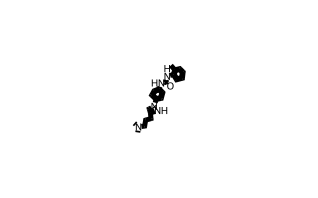 Cc1ccccc1NC(=O)Nc1ccc(-n2cc(CCCN(C)C)[nH]2)cc1